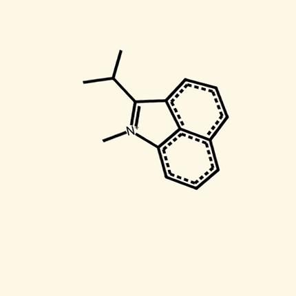 CC(C)C1=[N+](C)c2cccc3cccc1c23